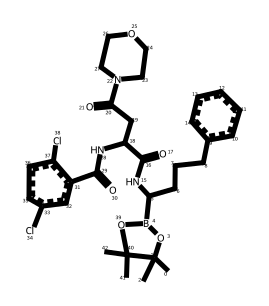 CC1(C)OB(C(CCCc2ccccc2)NC(=O)C(CC(=O)N2CCOCC2)NC(=O)c2cc(Cl)ccc2Cl)OC1(C)C